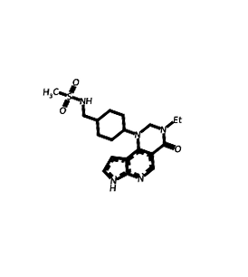 CCN1CN(C2CCC(CNS(C)(=O)=O)CC2)c2c(cnc3[nH]ccc23)C1=O